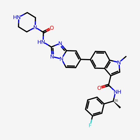 C[C@H](NC(=O)c1cn(C)c2ccc(-c3ccn4nc(NC(=O)N5CCNCC5)nc4c3)cc12)c1cccc(F)c1